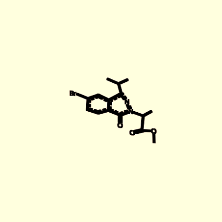 COC(=O)C(C)n1nc(C(C)C)c2cc(Br)ccc2c1=O